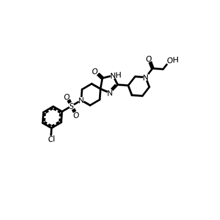 O=C(CO)N1CCCC(C2=NC3(CCN(S(=O)(=O)c4cccc(Cl)c4)CC3)C(=O)N2)C1